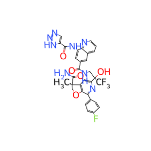 C[C@]1(C(N)=O)COc2c1cc([C@@](O)(CNC(=O)c1cc(NC(=O)c3cnn[nH]3)c3ncccc3c1)C(F)(F)F)nc2-c1ccc(F)cc1